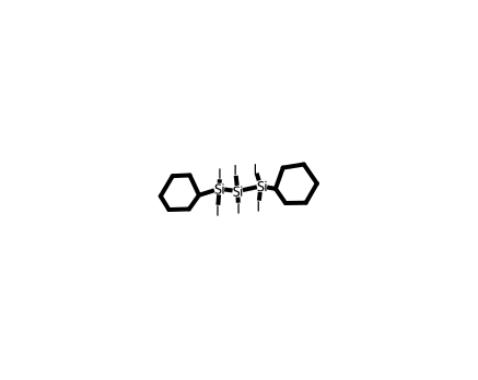 I[Si](I)(C1CCCCC1)[Si](I)(I)[Si](I)(I)C1CCCCC1